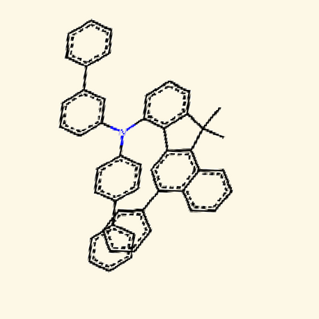 CC1(C)c2cccc(N(c3ccc(-c4ccccc4)cc3)c3cccc(-c4ccccc4)c3)c2-c2cc(-c3ccccc3)c3ccccc3c21